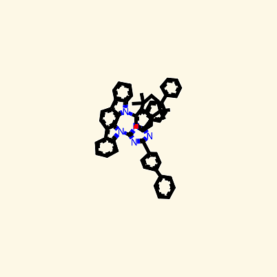 CC1(C)CCC(C)(C)c2c(-n3c4ccccc4c4ccc5c6ccccc6n(-c6nc(-c7ccc(-c8ccccc8)cc7)nc(-c7ccc(-c8ccccc8)cc7)n6)c5c43)cccc21